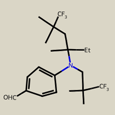 CCC(C)(CC(C)(C)C(F)(F)F)N(CC(C)(C)C(F)(F)F)c1ccc(C=O)cc1